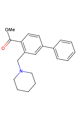 COC(=O)c1ccc(-c2ccccc2)cc1CN1CCCCC1